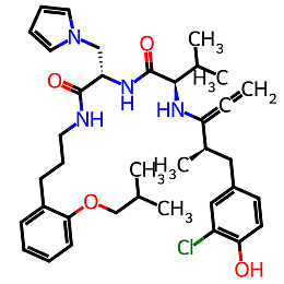 C=C=C(N[C@@H](C(=O)N[C@@H](Cn1cccc1)C(=O)NCCCc1ccccc1OCC(C)C)C(C)C)[C@H](C)Cc1ccc(O)c(Cl)c1